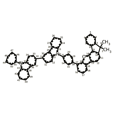 CC1(C)c2ccccc2-c2c1ccc1c2oc2c(-c3ccc(-n4c5ccccc5c5cc(-c6ccc7c(c6)c6ccccc6n7-c6ccccc6)ccc54)cc3)cccc21